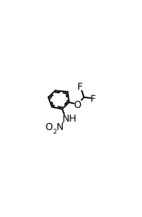 O=[N+]([O-])Nc1ccccc1OC(F)F